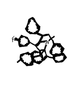 Cc1ccc(C2=C3C(c4ccc(F)cc4)=C4C(c5ccccc5)=CC(C)(c5ccccc5)N4C3(c3ccccc3)C(c3ccccc3)=C2)cc1